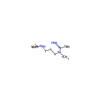 CNNCCCN(C)C(=N)C(C)C